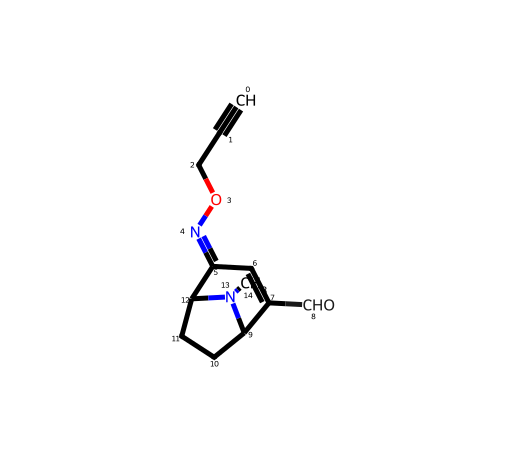 C#CCON=C1C=C(C=O)C2CCC1N2C